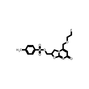 Cc1ccc(S(=O)(=O)OCC2Cn3c(COCCF)cc(=O)nc3O2)cc1